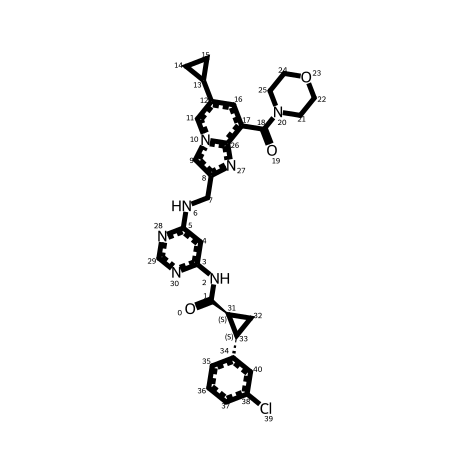 O=C(Nc1cc(NCc2cn3cc(C4CC4)cc(C(=O)N4CCOCC4)c3n2)ncn1)[C@H]1C[C@@H]1c1cccc(Cl)c1